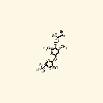 Cc1cc(Oc2ncc(C(F)(F)F)cc2Cl)cc(C)c1OCC(Br)=CBr